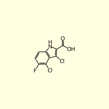 O=C(O)c1[nH]c2ccc(F)c(Cl)c2c1Cl